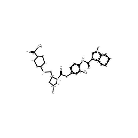 Cn1cc(C(=O)Nc2ccc(CC(=O)N3C[C@@H](F)C[C@H]3COC3CCC(C(=O)O)CC3)cc2Cl)c2ccccc21